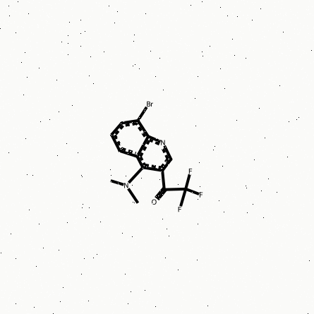 CN(C)c1c(C(=O)C(F)(F)F)cnc2c(Br)cccc12